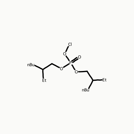 CCCCC(CC)COP(=O)(OCl)OCC(CC)CCCC